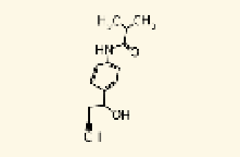 C#CCC(O)c1ccc(NC(=O)C(C)C)cc1